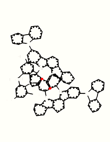 Cc1cc(C)c(B(c2cc(-n3c4ccccc4c4ccc5c6cc(B7c8ccccc8-c8ccccc87)ccc6n(-c6ccccc6)c5c43)cc(-n3c4ccccc4c4ccc5c6cc(B7c8ccccc8-c8ccccc87)ccc6n(-c6ccccc6)c5c43)c2)c2c(C)cc(C)cc2C)c(C)c1